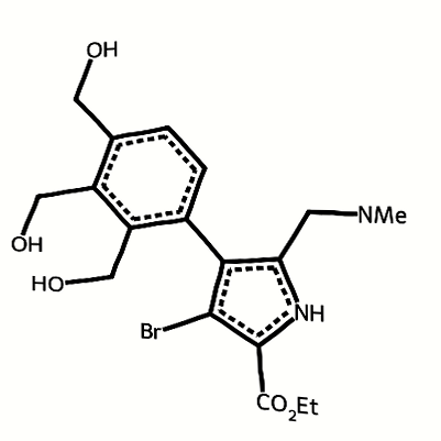 CCOC(=O)c1[nH]c(CNC)c(-c2ccc(CO)c(CO)c2CO)c1Br